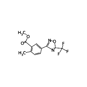 COC(=O)c1cc(-c2noc(C(F)(F)F)n2)ccc1C